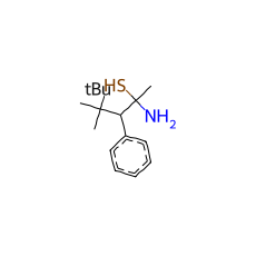 CC(N)(S)C(c1ccccc1)C(C)(C)C(C)(C)C